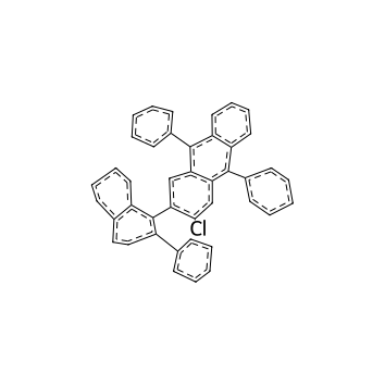 Clc1cc2c(-c3ccccc3)c3ccccc3c(-c3ccccc3)c2cc1-c1c(-c2ccccc2)ccc2ccccc12